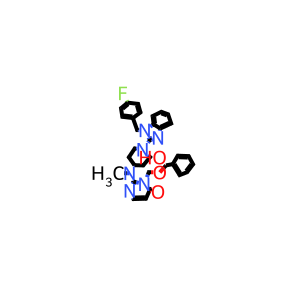 CN(c1nccc(=O)n1COC(O)c1ccccc1)C1CCN(c2nc3ccccc3n2Cc2ccc(F)cc2)CC1